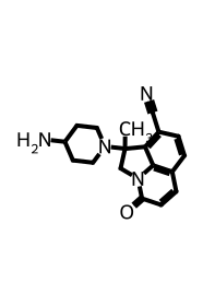 CC1(N2CCC(N)CC2)Cn2c(=O)ccc3ccc(C#N)c1c32